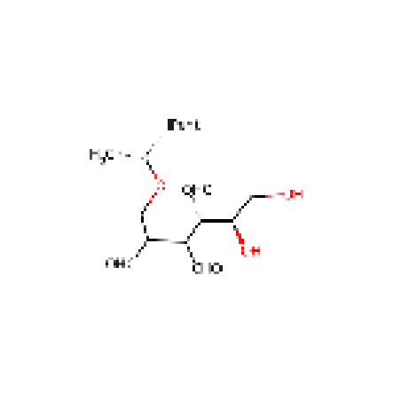 CCC[C@@H](C)[C@@H](C)OCC(C=O)C(C=O)[C@H](C=O)[C@H](O)CO